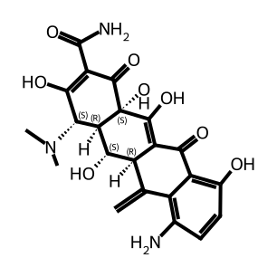 C=C1c2c(N)ccc(O)c2C(=O)C2=C(O)[C@]3(O)C(=O)C(C(N)=O)=C(O)[C@@H](N(C)C)[C@@H]3[C@@H](O)[C@H]12